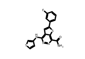 NC(=O)c1nnc(Nc2ccsc2)c2cc(-c3cccc(F)c3)sc12